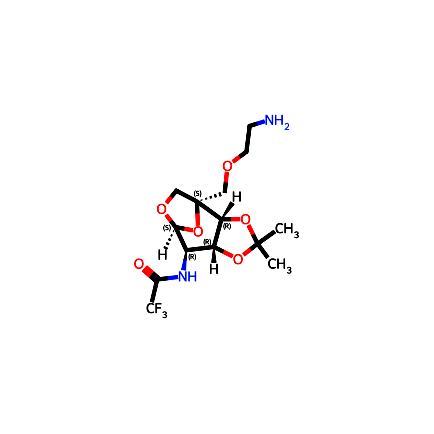 CC1(C)O[C@@H]2[C@@H](NC(=O)C(F)(F)F)[C@H]3OC[C@](COCCN)(O3)[C@@H]2O1